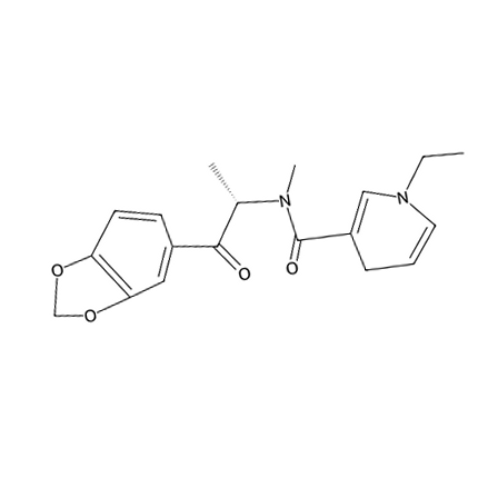 CCN1C=CCC(C(=O)N(C)[C@@H](C)C(=O)c2ccc3c(c2)OCO3)=C1